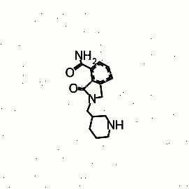 NC(=O)c1cccc2c1C(=O)N(CC1CCCNC1)C2